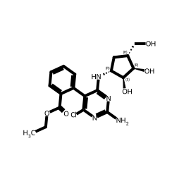 CCOC(=O)c1ccccc1-c1c(Cl)nc(N)nc1N[C@@H]1C[C@H](CO)[C@@H](O)[C@H]1O